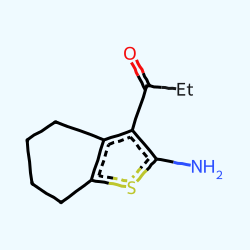 CCC(=O)c1c(N)sc2c1CCCC2